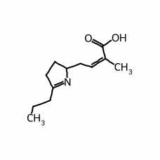 CCCC1=NC(CC=C(C)C(=O)O)CC1